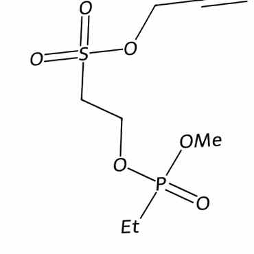 C#CCOS(=O)(=O)CCOP(=O)(CC)OC